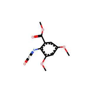 COC(=O)c1cc(OC)cc(OC)c1N=C=O